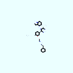 COc1ccc(-c2cncc(C#N)c2Nc2cccc3[nH]ccc23)cc1OCCNCCc1ccccc1